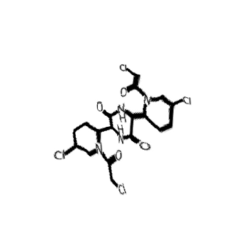 O=C1NC(C2CCC(Cl)CN2C(=O)CCl)C(=O)NC1C1CCC(Cl)CN1C(=O)CCl